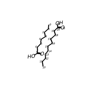 CCCCCCCC(=O)O.CCCCCCCCCCC(=O)O